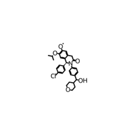 COc1cc2c(cc1OC(C)C)[C@H](c1ccc(Cl)cc1)N(c1ccc(C(O)C3CCOCC3)cc1)C(=O)C2